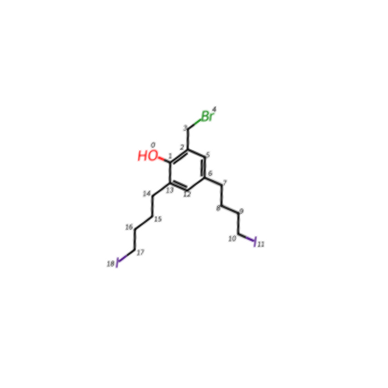 Oc1c(CBr)cc(CCCCI)cc1CCCCI